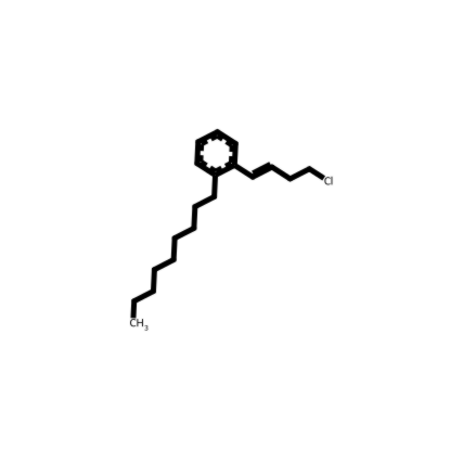 CCCCCCCCCc1ccccc1/C=C/CCCl